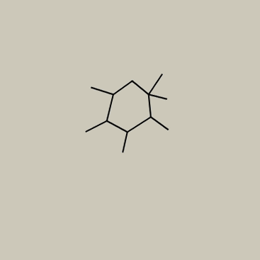 CC1CC(C)(C)C(C)C(C)C1C